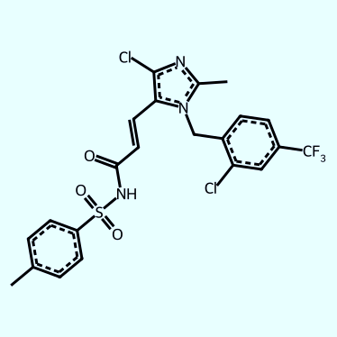 Cc1ccc(S(=O)(=O)NC(=O)C=Cc2c(Cl)nc(C)n2Cc2ccc(C(F)(F)F)cc2Cl)cc1